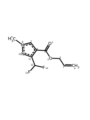 C=CCOC(=O)c1cn(C)nc1C(F)F